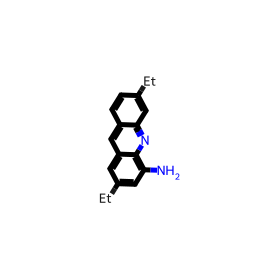 CCc1cc(N)c2nc3cc(CC)ccc3cc2c1